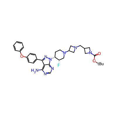 CC(C)(C)OC(=O)N1CC(CN2CC(N3CC[C@@H](n4nc(-c5ccc(Oc6ccccc6)cc5)c5c(N)ncnc54)[C@@H](F)C3)C2)C1